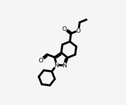 CCOC(=O)C1CCc2nn(C3CCCCC3)c(C=O)c2C1